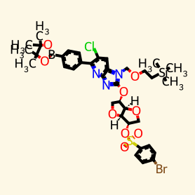 CC1(C)OB(c2ccc(-c3nc4nc(O[C@@H]5CO[C@H]6[C@@H]5OC[C@H]6OS(=O)(=O)c5ccc(Br)cc5)n(COCC[Si](C)(C)C)c4cc3Cl)cc2)OC1(C)C